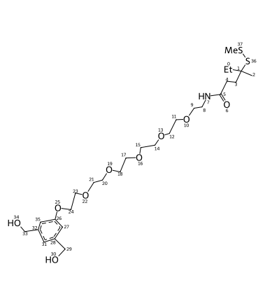 CCC(C)(CCC(=O)NCCOCCOCCOCCOCCOCCOc1cc(CO)cc(CO)c1)SSC